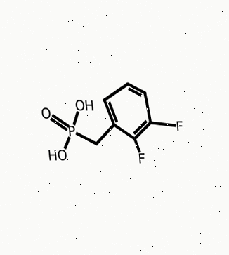 O=P(O)(O)Cc1cccc(F)c1F